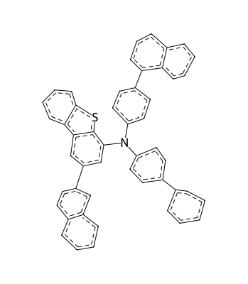 c1ccc(-c2ccc(N(c3ccc(-c4cccc5ccccc45)cc3)c3cc(-c4ccc5ccccc5c4)cc4c3sc3ccccc34)cc2)cc1